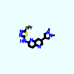 CCCc1nnc(Nc2ccc3ncc(C4=CN(C)N(C)C4)cc3n2)s1